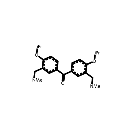 CNCc1cc(C(=O)c2ccc(OC(C)C)c(CNC)c2)ccc1OC(C)C